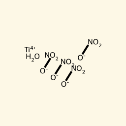 O.O=[N+]([O-])[O-].O=[N+]([O-])[O-].O=[N+]([O-])[O-].O=[N+]([O-])[O-].[Ti+4]